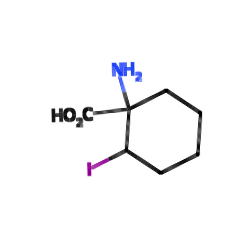 NC1(C(=O)O)CCCCC1I